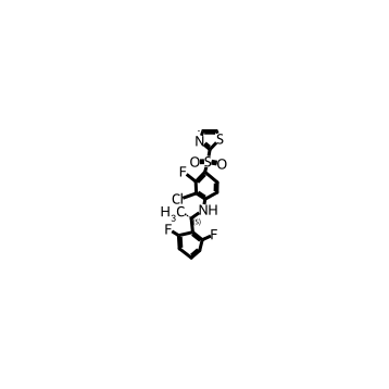 C[C@H](Nc1ccc(S(=O)(=O)c2n[c]cs2)c(F)c1Cl)c1c(F)cccc1F